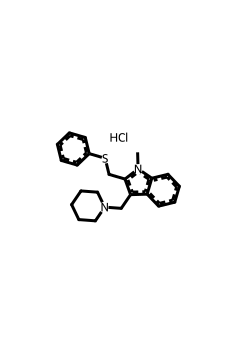 Cl.Cn1c(CSc2ccccc2)c(CN2CCCCC2)c2ccccc21